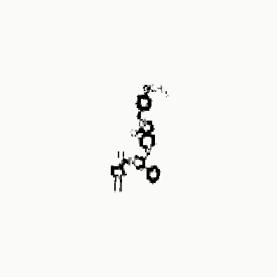 COc1ccc(CN2CCC3(CCN(C[C@H]4CN(C(=O)C5CCNC5)C[C@@H]4c4ccccc4)CC3)C2=O)cc1